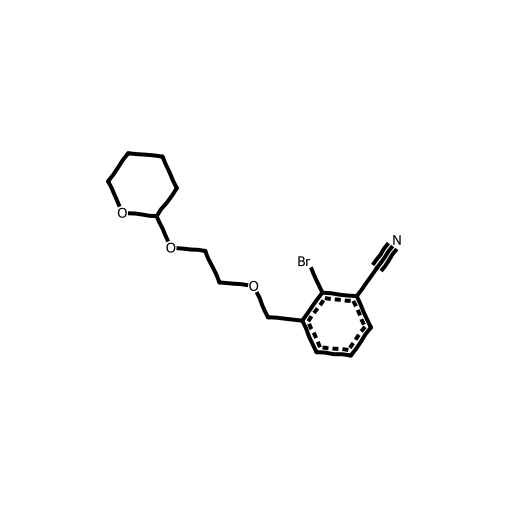 N#Cc1cccc(COCCOC2CCCCO2)c1Br